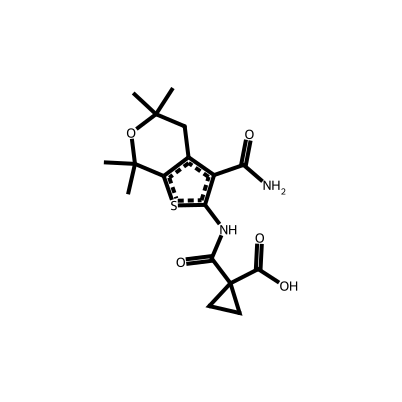 CC1(C)Cc2c(sc(NC(=O)C3(C(=O)O)CC3)c2C(N)=O)C(C)(C)O1